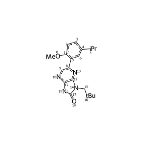 COc1ccc(C(C)C)cc1-c1cnc2c(n1)N(CC(C)(C)C)C(=O)[N]2